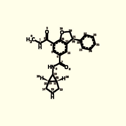 CNC(=O)c1cc(C(=O)NC2[C@H]3CNC[C@@H]23)cc2c1OC[C@H]2c1ccccc1